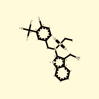 CCS(=O)(=O)N(Cc1ccc(F)c(C(F)(F)F)c1)c1sc2ccccc2c1CO